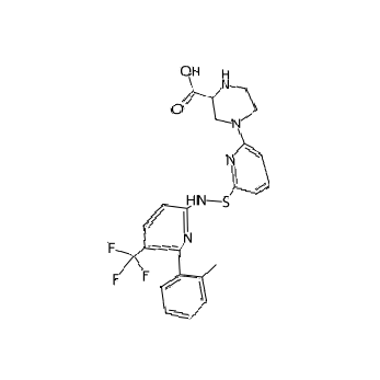 Cc1ccccc1-c1nc(NSc2cccc(N3CCNC(C(=O)O)C3)n2)ccc1C(F)(F)F